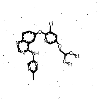 CCOC(COc1cnc(Oc2ccc3ncnc(Nc4cnc(C)cn4)c3c2)c(Cl)c1)OCC